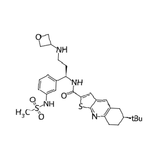 CC(C)(C)[C@H]1CCc2nc3sc(C(=O)N[C@H](CCNC4COC4)c4cccc(NS(C)(=O)=O)c4)cc3cc2C1